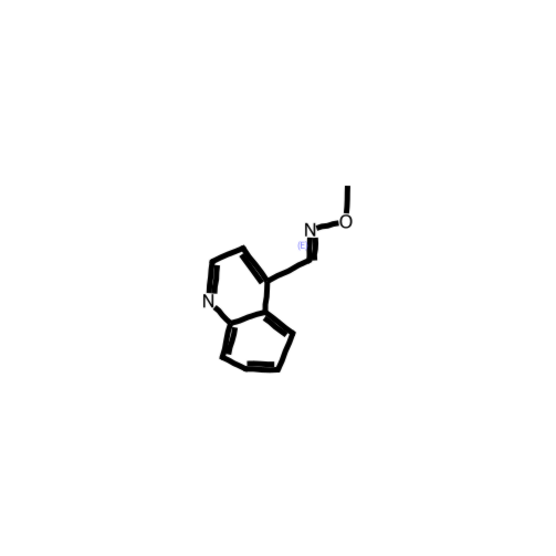 CO/N=C/c1ccnc2ccccc12